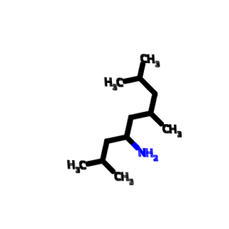 CC(C)CC(C)CC(N)CC(C)C